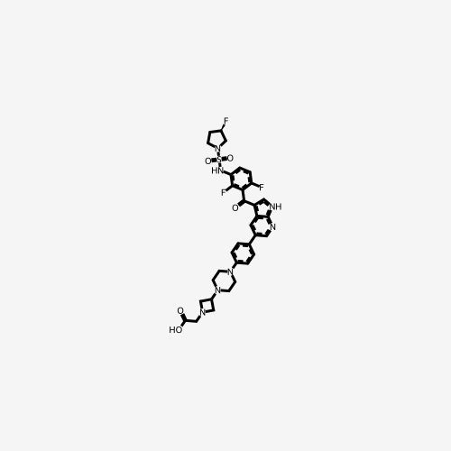 O=C(O)CN1CC(N2CCN(c3ccc(-c4cnc5[nH]cc(C(=O)c6c(F)ccc(NS(=O)(=O)N7CC[C@@H](F)C7)c6F)c5c4)cc3)CC2)C1